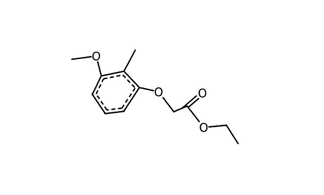 CCOC(=O)COc1cccc(OC)c1C